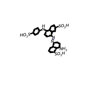 Nc1ccc(/N=N/c2ccc(Nc3ccc(S(=O)(=O)O)cc3)c3ccc(S(=O)(=O)O)cc23)c2cccc(S(=O)(=O)O)c12